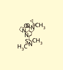 Cc1nc(C)c(-c2cc3c(c(N4CCCC4=O)n2)C(=O)N([C@@H](C)C2CC2)C3)s1